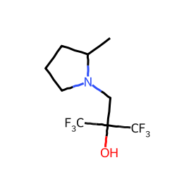 CC1CCCN1CC(O)(C(F)(F)F)C(F)(F)F